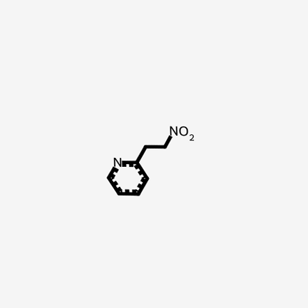 O=[N+]([O-])CCc1ccccn1